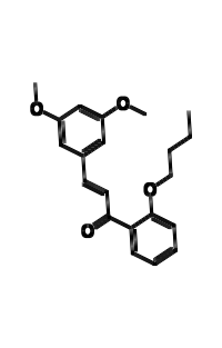 CCCCOc1ccccc1C(=O)C=Cc1cc(OC)cc(OC)c1